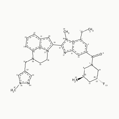 COc1cc(C(=O)N2C[C@H](N)C[C@@H](F)C2)cc2nc(-c3cc4cccc5c4n3CCN5Cc3cnn(C)c3)n(C)c12